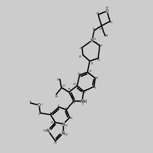 COCc1cc(-c2[nH]c3ccc(C4CCN(CC5(C)COC5)CC4)cc3c2C(C)C)cn2ncnc12